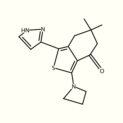 CC1(C)CC(=O)c2c(N3CCC3)sc(-c3cc[nH]n3)c2C1